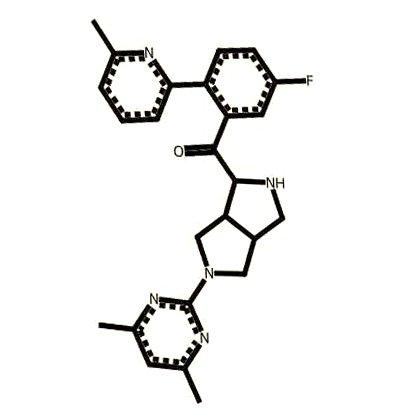 Cc1cccc(-c2ccc(F)cc2C(=O)C2NCC3CN(c4nc(C)cc(C)n4)CC32)n1